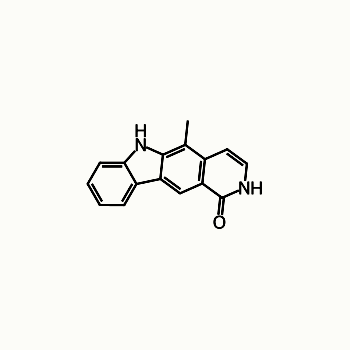 Cc1c2cc[nH]c(=O)c2cc2c1[nH]c1ccccc12